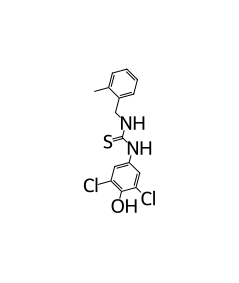 Cc1ccccc1CNC(=S)Nc1cc(Cl)c(O)c(Cl)c1